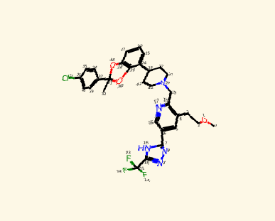 COCCc1cc(-c2nnc(C(F)(F)F)[nH]2)cnc1CN1CCC(c2cccc3c2OC(C)(c2ccc(Cl)cc2)O3)CC1